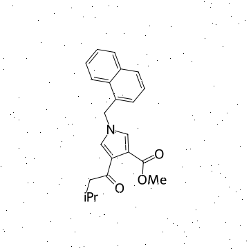 COC(=O)c1cn(Cc2cccc3ccccc23)cc1C(=O)CC(C)C